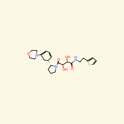 O=C(NCCc1cccs1)[C@H](O)[C@@H](O)C(=O)N1CCC[C@@H]1C1C=CC=C(N2CCOCC2)C1